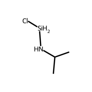 CC(C)N[SiH2]Cl